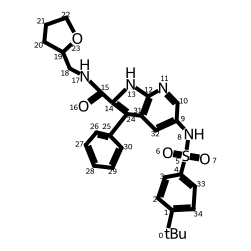 CC(C)(C)c1ccc(S(=O)(=O)Nc2cnc3[nH]c(C(=O)NCC4CCCO4)c(-c4ccccc4)c3c2)cc1